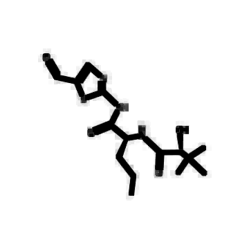 CCC[C@H](NC(=O)[C@@H](O)C(C)(C)C)C(=O)Nc1ncc(C=O)s1